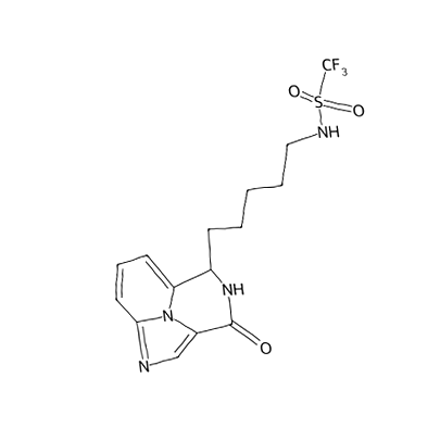 O=C1NC(CCCCCNS(=O)(=O)C(F)(F)F)c2cccc3ncc1n23